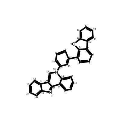 c1cc(-c2cccc3c2oc2ccccc23)cc(-n2cc3c4ccccc4nc-3c3ccccc32)c1